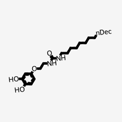 CCCCCCCCCCCCCCCCCCNC(=O)NCCOc1ccc(O)c(O)c1